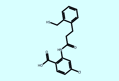 O=C(CCc1ccccc1CS)Nc1cc(Cl)ccc1C(=O)O